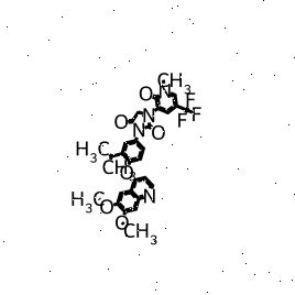 COc1cc2nccc(Oc3ccc(N4C(=O)CN(c5cc(C(F)(F)F)cn(C)c5=O)C4=O)cc3C(C)C)c2cc1OC